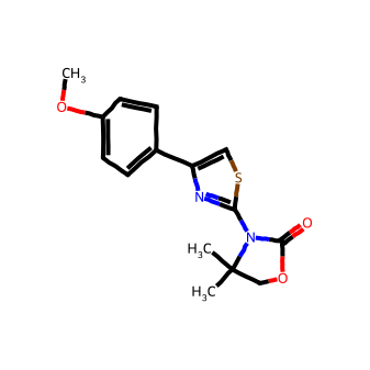 COc1ccc(-c2csc(N3C(=O)OCC3(C)C)n2)cc1